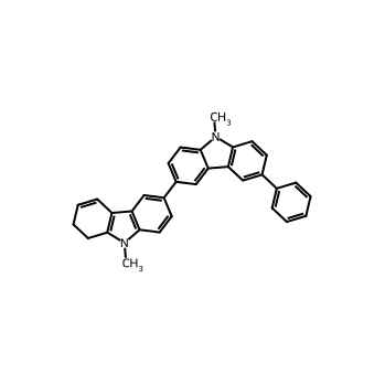 Cn1c2c(c3cc(-c4ccc5c(c4)c4cc(-c6ccccc6)ccc4n5C)ccc31)C=CCC2